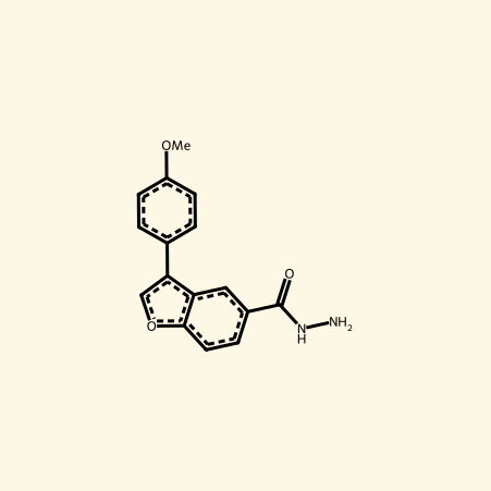 COc1ccc(-c2coc3ccc(C(=O)NN)cc23)cc1